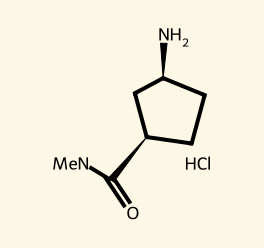 CNC(=O)[C@@H]1CC[C@H](N)C1.Cl